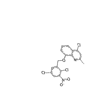 Cc1cc(Cl)c2cccc(OCc3cc(Cl)cc([N+](=O)[O-])c3Cl)c2n1